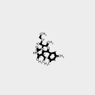 C=CC(C(=O)OCC)n1c(C(=O)c2cc(C)cc(C)c2)c(CC)c(=O)[nH]c1=O